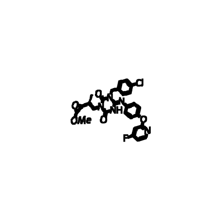 COC1OC1[C@@H](C)Cn1c(=O)[nH]/c(=N\c2ccc(Oc3cc(F)ccn3)cc2)n(Cc2ccc(Cl)cc2)c1=O